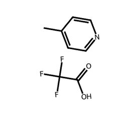 Cc1ccncc1.O=C(O)C(F)(F)F